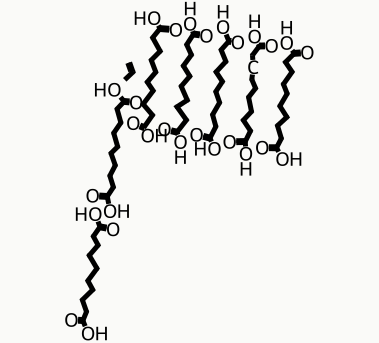 C=CC.O=C(O)CCCCCCCCC(=O)O.O=C(O)CCCCCCCCC(=O)O.O=C(O)CCCCCCCCC(=O)O.O=C(O)CCCCCCCCC(=O)O.O=C(O)CCCCCCCCC(=O)O.O=C(O)CCCCCCCCC(=O)O.O=C(O)CCCCCCCCC(=O)O